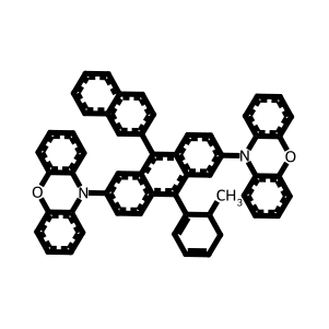 CC1CC=CC=C1c1c2cc(N3c4ccccc4Oc4ccccc43)ccc2c(-c2ccc3ccccc3c2)c2cc(N3c4ccccc4Oc4ccccc43)ccc12